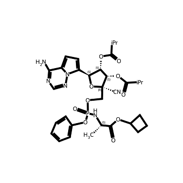 CC(C)C(=O)O[C@H]1[C@H](c2ccc3c(N)ncnn23)O[C@](C#N)(COP(=O)(N[C@@H](C)C(=O)OC2CCC2)Oc2ccccc2)[C@H]1OC(=O)C(C)C